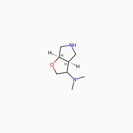 CN(C)C1CO[C@H]2CNC[C@@H]12